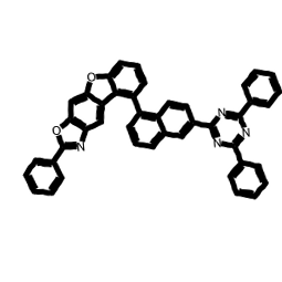 c1ccc(-c2nc(-c3ccccc3)nc(-c3ccc4c(-c5cccc6oc7cc8oc(-c9ccccc9)nc8cc7c56)cccc4c3)n2)cc1